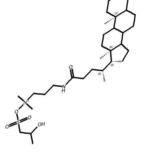 CC(O)CS(=O)(=O)O[N+](C)(C)CCCNC(=O)CC[C@@H](C)[C@H]1CCC2C3CCC4CCCC[C@]4(C)C3CC[C@@]21C